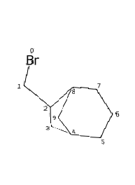 BrCC1CC2CCCC1C2